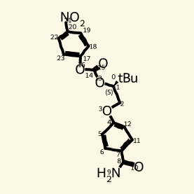 CC(C)(C)[C@@H](COc1ccc(C(N)=O)cc1)OC(=O)Oc1ccc([N+](=O)[O-])cc1